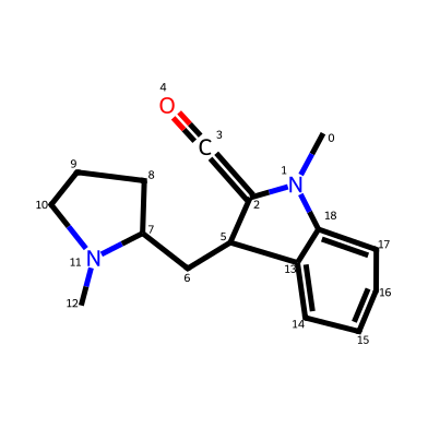 CN1C(=C=O)C(CC2CCCN2C)c2ccccc21